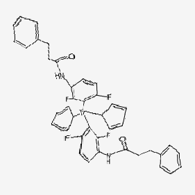 O=C(CCc1ccccc1)Nc1ccc(F)[c]([Ti]([c]2c(F)ccc(NC(=O)CCc3ccccc3)c2F)([CH]2C=CC=C2)[CH]2C=CC=C2)c1F